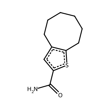 NC(=O)c1cc2c(s1)CCCCCC2